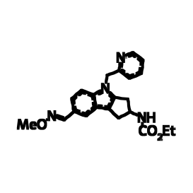 CCOC(=O)NC1Cc2c(n(Cc3ccccn3)c3ccc(C=NOC)cc23)C1